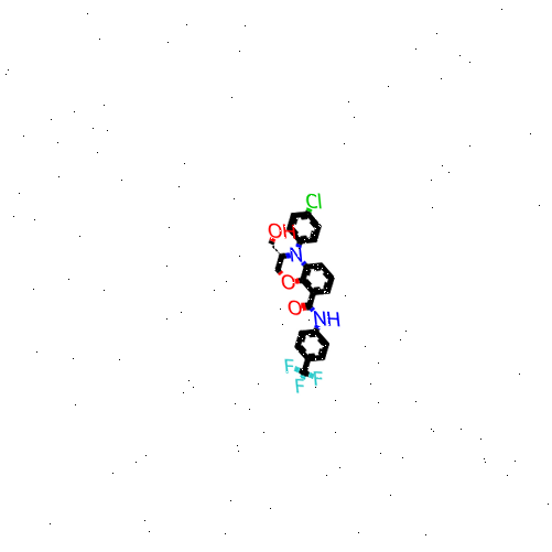 O=C(Nc1ccc(C(F)(F)F)cc1)c1cccc2c1OC[C@H](CO)N2c1ccc(Cl)cc1